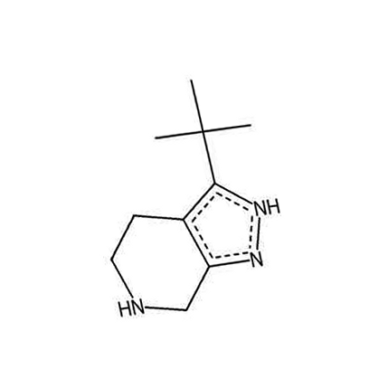 CC(C)(C)c1[nH]nc2c1CCNC2